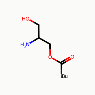 CCC(C)C(=O)OCC(N)CO